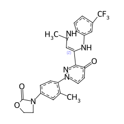 CC(=N)/C=C(\Nc1cccc(C(F)(F)F)c1)c1nn(-c2ccc(N3CCOC3=O)cc2C)ccc1=O